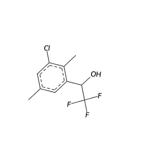 Cc1cc(Cl)c(C)c(C(O)C(F)(F)F)c1